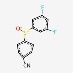 N#Cc1ccc([S+]([O-])c2cc(F)cc(F)c2)cc1